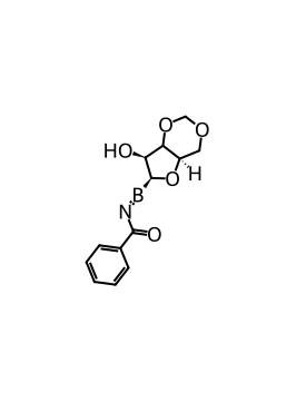 O=C(/N=B/[C@@H]1O[C@@H]2COCOC2[C@@H]1O)c1ccccc1